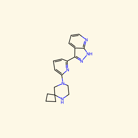 c1cc(-c2n[nH]c3ncccc23)nc(N2CCNC3(CCC3)C2)c1